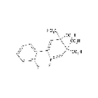 O=C(O)C1(C(=O)O)C=C(F)C(c2ccccc2F)=CC1(C(=O)O)C(=O)O